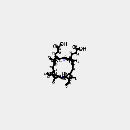 C=CC1=C(C)C2CC3=N/C(=C\c4[nH]c(c(C)c4CCC(=O)O)CC4N=C(/C=C/1N2)C(C)=C4C=C)C(CCC(=O)O)=C3C